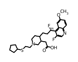 COc1ccc2ncc(F)c([C@H](F)CCC3CCN(CCSC4CCCC4)CC3CC(=O)O)c2c1